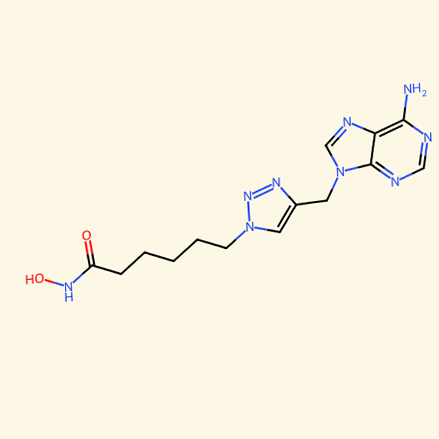 Nc1ncnc2c1ncn2Cc1cn(CCCCCC(=O)NO)nn1